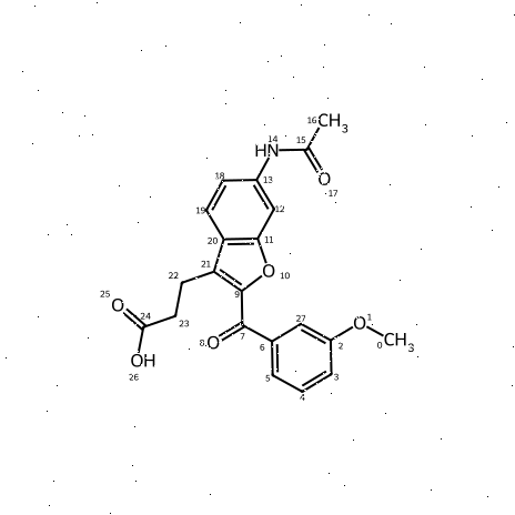 COc1cccc(C(=O)c2oc3cc(NC(C)=O)ccc3c2CCC(=O)O)c1